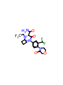 NC(=O)[C@H](C(=O)Nc1ccc(N2CCOCC2=O)c(C(F)F)c1)N(CC(F)(F)F)C1CCC1